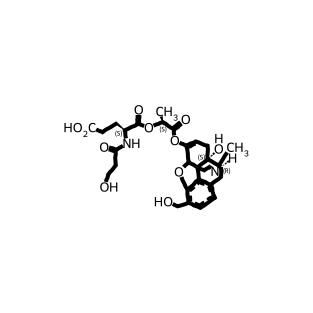 C[C@H](OC(=O)[C@H](CCC(=O)O)NC(=O)CCO)C(=O)OC1=CC[C@@]2(O)[C@H]3Cc4ccc(CO)c5c4C2(CCN3C)C1O5